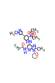 Cc1nc2c(Nc3ccc(-c4cnn(C)c4)cc3N(C)S(C)(=O)=O)cc(NC(=O)C3C[C@@H]3F)nc2n1C1CCCCO1